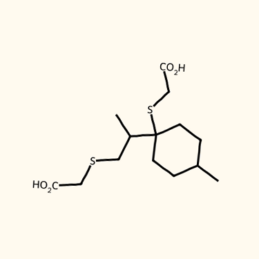 CC1CCC(SCC(=O)O)(C(C)CSCC(=O)O)CC1